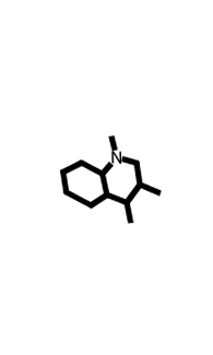 CC1CN(C)C2CCCCC2C1C